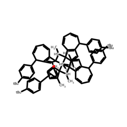 CC1=CC2=C(C=CC=CC2c2ccc(C(C)(C)C)cc2)[C]12[SiH](C)[C]1(C(C)=CC3=C1C=CC=CC3c1ccc(C(C)(C)C)cc1)[Hf]21([Cl])([Cl])[C]2(C(C)=CC3=C2C=CC=CC3c2ccc(C(C)(C)C)cc2)[SiH](C)[C]12C(C)=CC1=C2C=CC=CC1c1ccc(C(C)(C)C)cc1